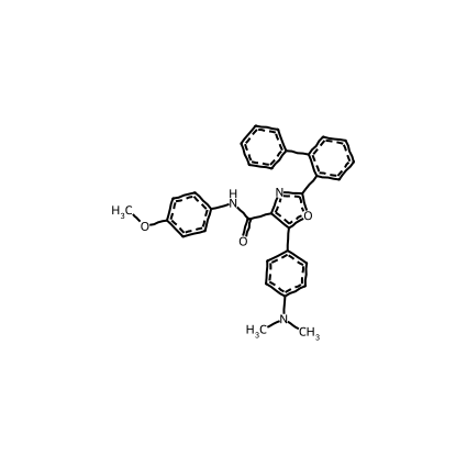 COc1ccc(NC(=O)c2nc(-c3ccccc3-c3ccccc3)oc2-c2ccc(N(C)C)cc2)cc1